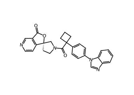 O=C1O[C@]2(CCN(C(=O)C3(c4ccc(-n5cnc6ccccc65)cc4)CCC3)C2)c2ccncc21